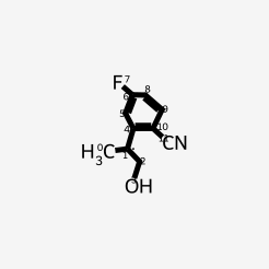 C[C](CO)c1cc(F)ccc1C#N